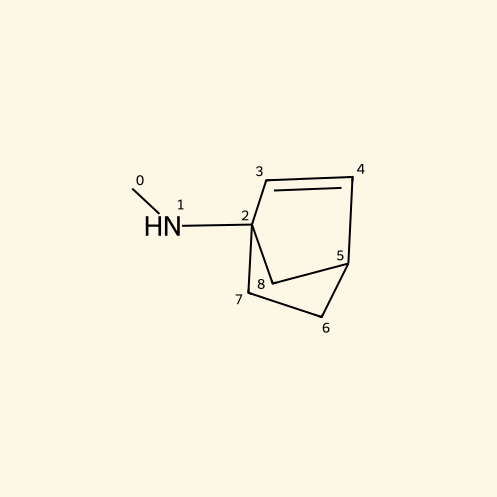 CNC12C=CC(CC1)C2